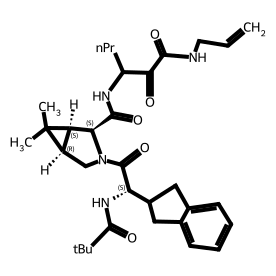 C=CCNC(=O)C(=O)C(CCC)NC(=O)[C@@H]1[C@H]2[C@@H](CN1C(=O)[C@@H](NC(=O)C(C)(C)C)C1Cc3ccccc3C1)C2(C)C